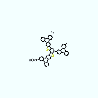 CCCCCCCCc1ccc2c(c1)c1ccccc1c1cc3sc4c(-c5ccc6c7ccccc7c7cc(C)ccc7c6c5)cc5c6cc7c8ccc(CC)cc8c8ccccc8c7cc6sc5c4c3cc21